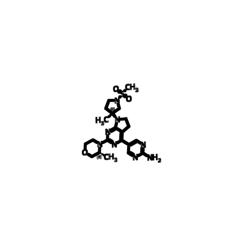 C[C@@H]1COCCN1c1nc(-c2cnc(N)nc2)c2c(n1)N([C@]1(C)CCN(S(C)(=O)=O)C1)CC2